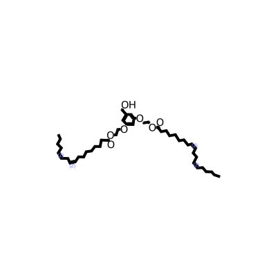 CCCC/C=C\C/C=C\CCCCCCCC(=O)OCCOc1cc(CO)cc(OCCOC(=O)CCCCCCC/C=C\CC/C=C\CCCCC)c1